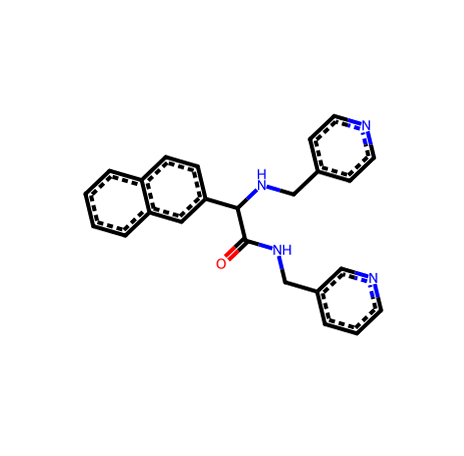 O=C(NCc1cccnc1)C(NCc1ccncc1)c1ccc2ccccc2c1